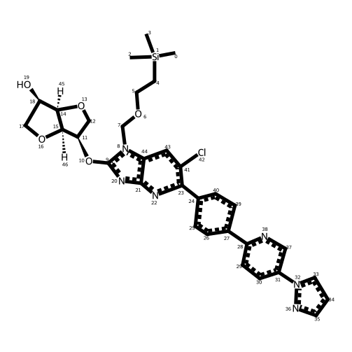 C[Si](C)(C)CCOCn1c(O[C@@H]2CO[C@H]3[C@@H]2OC[C@H]3O)nc2nc(-c3ccc(-c4ccc(-n5cccn5)cn4)cc3)c(Cl)cc21